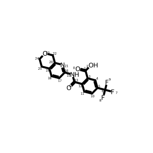 O=C(O)c1cc(C(F)(F)F)ccc1C(=O)Nc1ccc2c(n1)COCC2